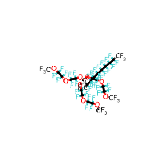 FC(F)(F)OC(F)(F)C(F)(F)OC(F)(F)C(F)(F)O[Si](OC(F)(F)C(F)(F)OC(F)(F)C(F)(F)OC(F)(F)F)(OC(F)(F)C(F)(F)OC(F)(F)C(F)(F)OC(F)(F)F)C(F)(C(F)(F)F)C(F)(F)C(F)(F)C(F)(F)C(F)(F)C(F)(F)C(F)(F)C(F)(F)C(F)(F)F